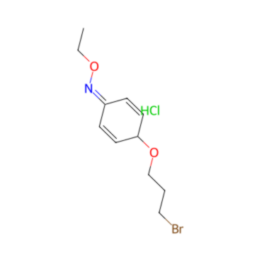 CCON=C1C=CC(OCCCBr)C=C1.Cl